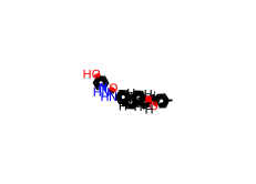 C[C@H]1[C@H]2[C@H](C[C@H]3[C@@H]4CC[C@@H]5C[C@H](NC(=O)NN6CCC(O)CC6)CC[C@]5(C)[C@H]4CC[C@]23C)O[C@]12CC[C@H](C)CC2